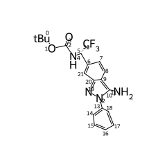 CC(C)(C)OC(=O)N[C@@H](c1ccc2c(N)n(-c3ccccc3)nc2c1)C(F)(F)F